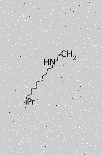 C=CCNCCCCCCCCCCC(C)C